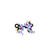 C[C@H](Oc1nc(-c2noc([C@@]3(C)CCCc4sc(N)c(C#N)c43)n2)cc(N2CCNC[C@@H]2C)n1)[C@@H]1CCCN1C